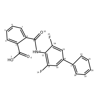 O=C(O)c1ccccc1C(=O)Nc1c(F)cc(-c2ccccc2)cc1F